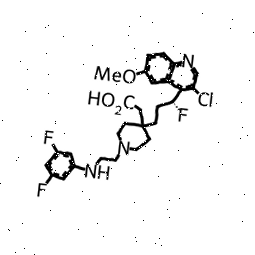 COc1ccc2ncc(Cl)c([C@H](F)CCC3(CC(=O)O)CCN(CCNc4cc(F)cc(F)c4)CC3)c2c1